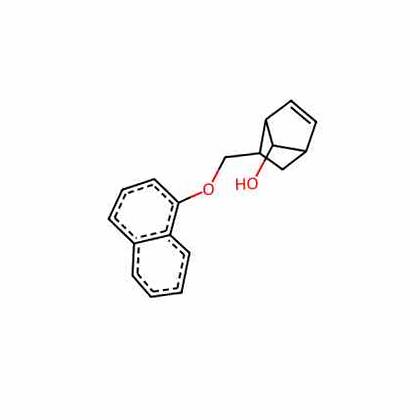 OC1C2C=CC1C(COc1cccc3ccccc13)C2